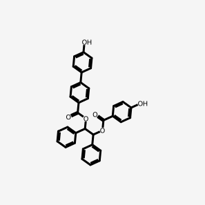 O=C(OC(c1ccccc1)C(OC(=O)c1ccc(-c2ccc(O)cc2)cc1)c1ccccc1)c1ccc(O)cc1